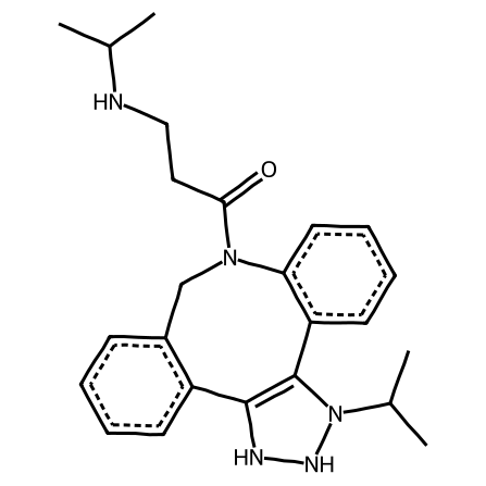 CC(C)NCCC(=O)N1Cc2ccccc2C2=C(c3ccccc31)N(C(C)C)NN2